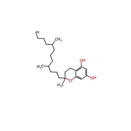 CC(C)CCCC(C)CCCC(C)CCCC1(C)CCc2c(O)cc(O)cc2O1